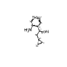 Nc1cnncc1C(O)CC1CC1